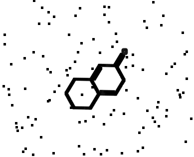 O=C1C=C2CCCCC2=CC1